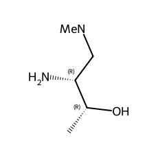 CNC[C@@H](N)[C@@H](C)O